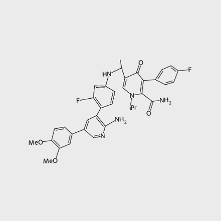 COc1ccc(-c2cnc(N)c(-c3ccc(NC(C)c4cn(C(C)C)c(C(N)=O)c(-c5ccc(F)cc5)c4=O)cc3F)c2)cc1OC